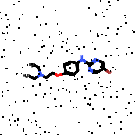 CCN(CC)CCOc1ccc(Nc2ncc(Br)cn2)cc1